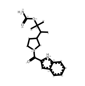 CC(C1CCN(C(=O)c2cc3ccccc3[nH]2)C1)C(C)(C)OC(N)=O